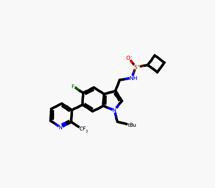 CC(C)(C)Cn1cc(CN[S+]([O-])C2CCC2)c2cc(F)c(-c3cccnc3C(F)(F)F)cc21